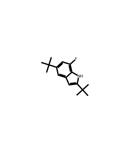 CC(C)(C)c1cc(F)c2[nH]c(C(C)(C)C)cc2c1